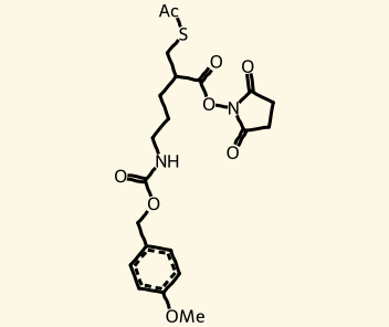 COc1ccc(COC(=O)NCCCC(CSC(C)=O)C(=O)ON2C(=O)CCC2=O)cc1